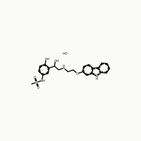 CS(=O)(=O)Nc1ccc(O)c(C(O)CNCCOc2ccc3c(c2)[nH]c2ccccc23)c1.Cl